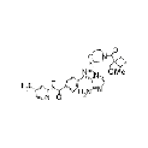 COCC1(C(=O)N2CCO[C@@H](c3nc(-c4ccc(C(=O)Nc5cc(C(F)(F)F)ccn5)cc4)c4c(N)nccn34)C2)CCC1